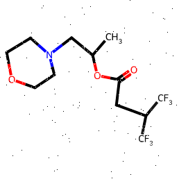 CC(CN1CCOCC1)OC(=O)CC(C(F)(F)F)C(F)(F)F